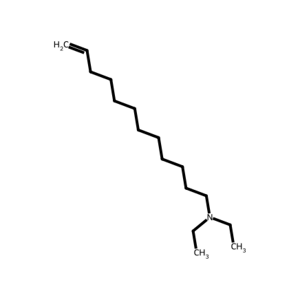 C=CCCCCCCCCCCN(CC)CC